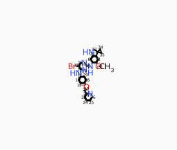 COc1cc2c(cc1Nc1ncc(Br)c(Nc3ccc(OCc4ccccn4)cc3)n1)NCC21CC1